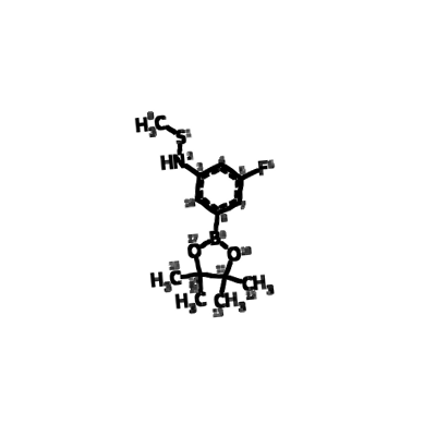 CSNc1cc(F)cc(B2OC(C)(C)C(C)(C)O2)c1